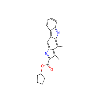 CC1=c2c(cc3c(c2C)N=c2ccccc2=3)N=C1C(=O)OC1CCCC1